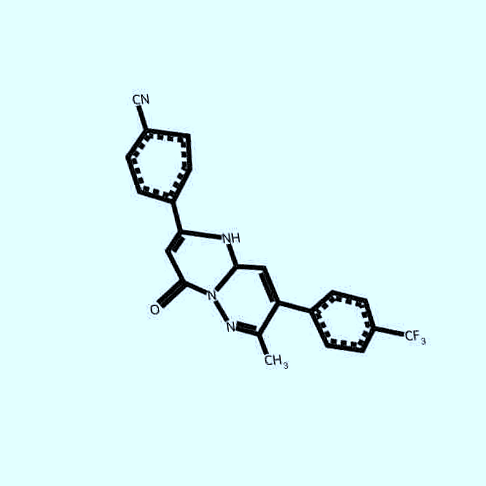 CC1=NN2C(=O)C=C(c3ccc(C#N)cc3)NC2C=C1c1ccc(C(F)(F)F)cc1